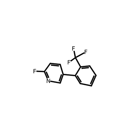 Fc1ccc(-c2ccccc2C(F)(F)F)cn1